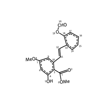 COC(=O)c1c(O)cc(OC)cc1C=Cc1ccccc1OC=O